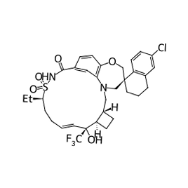 CC[C@@H]1CC/C=C/[C@](O)(C(F)(F)F)[C@@H]2CC[C@H]2CN2C[C@@]3(CCCc4cc(Cl)ccc43)COc3ccc(cc32)C(=O)NS1(=O)=O